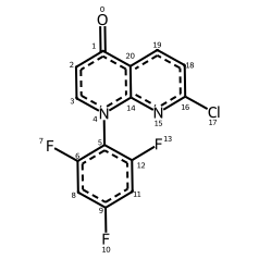 O=c1ccn(-c2c(F)cc(F)cc2F)c2nc(Cl)ccc12